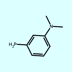 CN(C)c1cccc(P)c1